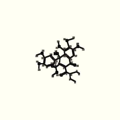 CCC(CC)C(=O)C1=C(C(=O)OC)C(O)(c2ccc(OC)c(OC)c2)c2c(cc(OC)c(OC)c2OC)C1=O